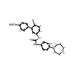 COc1ccc(-c2cc(OC(=O)Nc3ccc(N4CCCOCC4)nc3)ccc2C)cc1